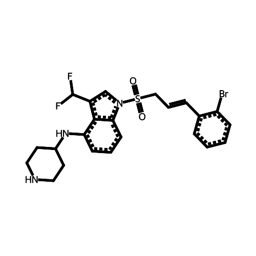 O=S(=O)(CC=Cc1ccccc1Br)n1cc(C(F)F)c2c(NC3CCNCC3)cccc21